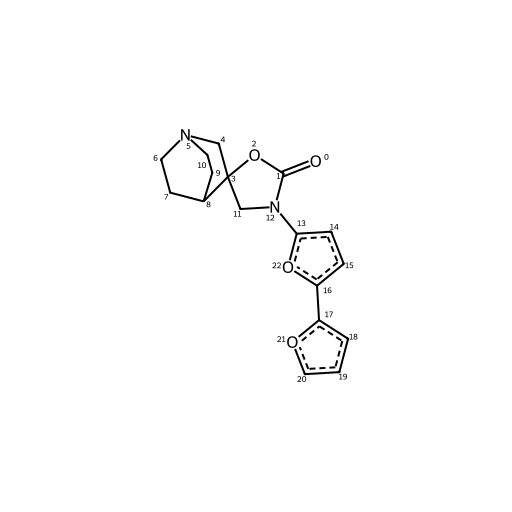 O=C1OC2(CN3CCC2CC3)CN1c1ccc(-c2ccco2)o1